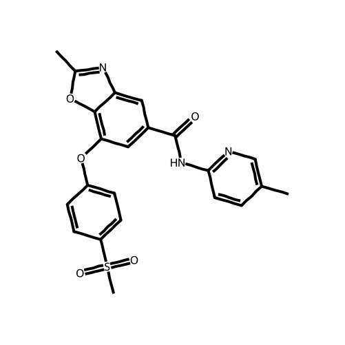 Cc1ccc(NC(=O)c2cc(Oc3ccc(S(C)(=O)=O)cc3)c3oc(C)nc3c2)nc1